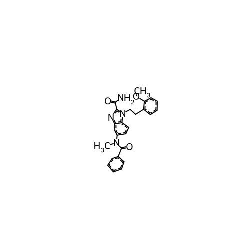 COc1ccccc1CCn1c(C(N)=O)nc2cc(N(C)C(=O)c3ccccc3)ccc21